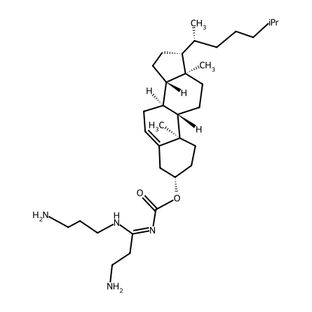 CC(C)CCC[C@@H](C)[C@H]1CC[C@H]2[C@@H]3CC=C4C[C@@H](OC(=O)N=C(CCN)NCCCN)CC[C@]4(C)[C@H]3CC[C@]12C